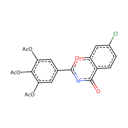 CC(=O)Oc1cc(-c2nc(=O)c3ccc(Cl)cc3o2)cc(OC(C)=O)c1OC(C)=O